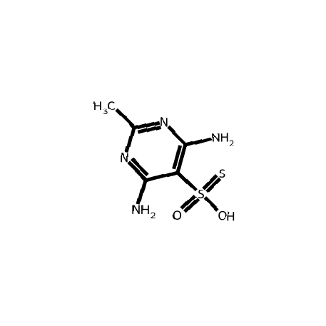 Cc1nc(N)c(S(=O)(O)=S)c(N)n1